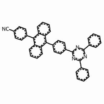 N#Cc1ccc(-c2c3ccccc3c(-c3ccc(-c4nc(-c5ccccc5)nc(-c5ccccc5)n4)cc3)c3ccccc23)cc1